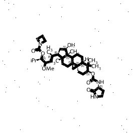 COC(C[C@@H](C)[C@H]1C[C@H](O)[C@@]2(C)C3CC[C@H]4C(C)(C)[C@@H](OC(=O)N[C@@H]5CCNC5=O)CC[C@@]45C[C@@]35CC[C@]12C)[C@H](OC(=O)N1CCC1)C(C)C